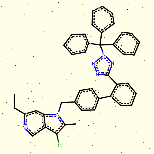 CCc1cc2c(cn1)c(Cl)c(C)n2Cc1ccc(-c2ccccc2-c2nnn(C(c3ccccc3)(c3ccccc3)c3ccccc3)n2)cc1